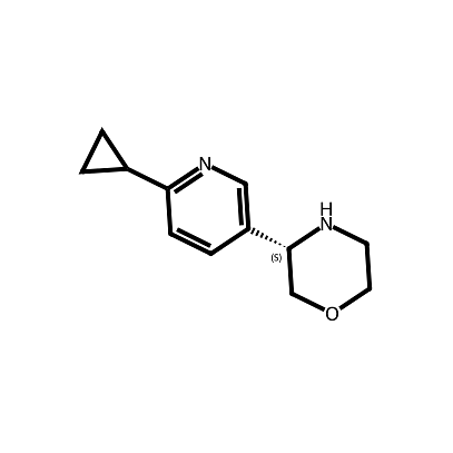 c1cc(C2CC2)ncc1[C@H]1COCCN1